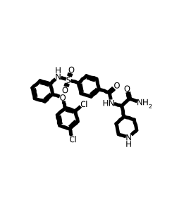 NC(=O)C(NC(=O)c1ccc(S(=O)(=O)Nc2ccccc2Oc2ccc(Cl)cc2Cl)cc1)C1CCNCC1